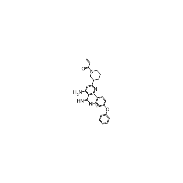 C=CC(=O)N1CCCC(c2cc(N)c(C(=N)N)c(-c3ccc(Oc4ccccc4)cc3)n2)C1